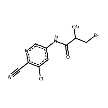 N#Cc1ncc(NC(=O)C(O)CBr)cc1Cl